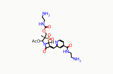 CC(=O)O[C@@H]1N2C(=O)/C(=C/c3cc(C(=O)NCCN)ccn3)[C@H]2S(=O)(=O)[C@@]1(C)COC(=O)NCCN